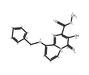 COC(=O)c1nc2c(OCc3ccccc3)cccn2c(=O)c1O